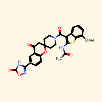 COc1cccc2c(C(=O)N3CCC4(CC3)CC(=O)c3cc(-c5noc(=O)[nH]5)ccc3O4)c(NC(=O)C(F)(F)F)sc12